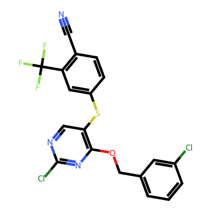 N#Cc1ccc(Sc2cnc(Cl)nc2OCc2cccc(Cl)c2)cc1C(F)(F)F